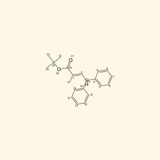 CC(=C[SiH](c1ccccc1)c1ccccc1)C(=O)OC(C)(C)C